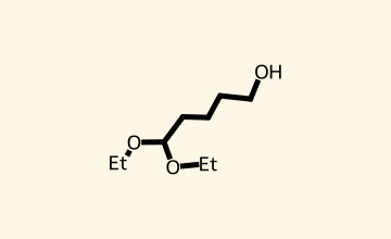 CCOC(CCCCO)OCC